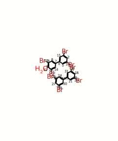 Brc1cc(Br)cc(-c2cc(Br)cc(Br)c2)c1.Brc1cc(Br)cc(-c2cc(Br)cc(Br)c2)c1.O